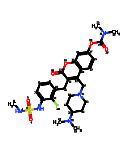 CNS(=O)(=O)Nc1cccc(Cc2c(CN3CCC(N(C)C)CC3)c3ccc(OC(=O)N(C)C)cc3oc2=O)c1F